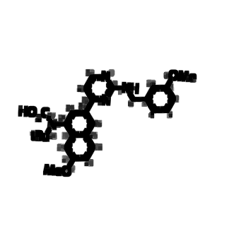 COc1cccc(CNc2nccc(-c3cc(N(C(=O)O)C(C)(C)C)c4cc(OC)ccc4c3)n2)c1